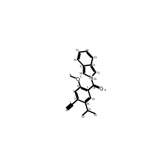 C#Cc1cc(OC)c(C(=O)n2cc3ccccc3c2)cc1C(C)C